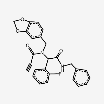 C#CC(=O)N(Cc1ccc2c(c1)OCO2)C(C(=O)NCc1ccccc1)c1ccccc1F